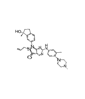 C=CCn1c(=O)c2cnc(Nc3ccc(N4CCN(C)CC4)c(C)c3)nc2n1-c1ccc2c(c1)[C@](C)(O)CC2